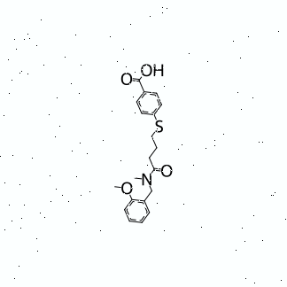 COc1ccccc1CN(C)C(=O)CCCSc1ccc(C(=O)O)cc1